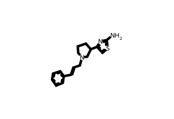 Nc1nc(C2CCCN(CC=Cc3ccccc3)C2)cs1